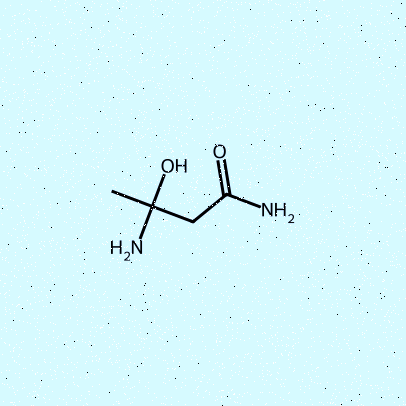 CC(N)(O)CC(N)=O